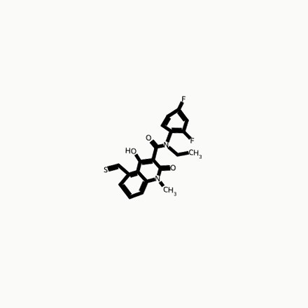 CCN(C(=O)c1c(O)c2c(C=S)cccc2n(C)c1=O)c1ccc(F)cc1F